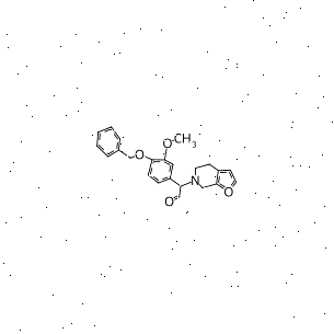 COc1cc(C(C=O)N2CCc3ccoc3C2)ccc1OCc1ccccc1